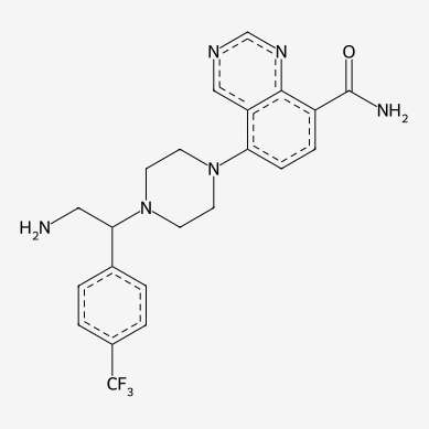 NCC(c1ccc(C(F)(F)F)cc1)N1CCN(c2ccc(C(N)=O)c3ncncc23)CC1